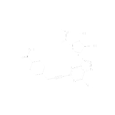 CCNC(=O)[C@H]1O[C@@H](n2cnc3c(N)nc(C#CCC4CCC(C(N)=O)CC4)nc32)C(O)[C@H]1O